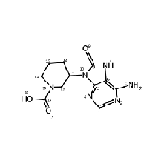 Nc1ncnc2c1[nH]c(=O)n2C1CCCN(C(=O)O)C1